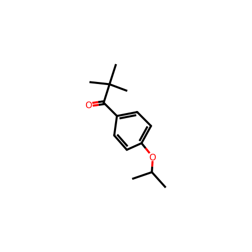 CC(C)Oc1ccc(C(=O)C(C)(C)C)cc1